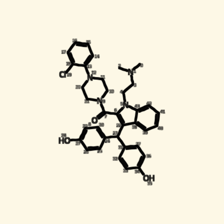 CN(C)CCn1c(C(=O)N2CCN(c3ccccc3Cl)CC2)c(C(c2ccc(O)cc2)c2ccc(O)cc2)c2ccccc21